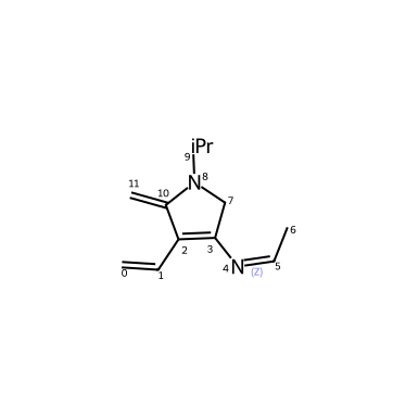 C=CC1=C(/N=C\C)CN(C(C)C)C1=C